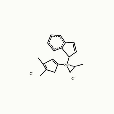 CC1=C(C)C[C]([Zr+2]2([CH]3C=Cc4ccccc43)[CH2][CH]2C)=C1.[Cl-].[Cl-]